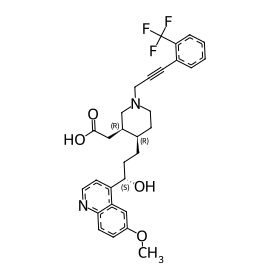 COc1ccc2nccc([C@@H](O)CC[C@@H]3CCN(CC#Cc4ccccc4C(F)(F)F)C[C@@H]3CC(=O)O)c2c1